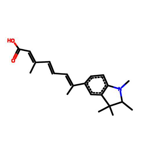 CC(/C=C/C=C(\C)c1ccc2c(c1)C(C)(C)C(C)N2C)=C\C(=O)O